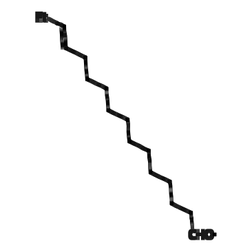 CCC=CCCCCCCCCCCC[C]=O